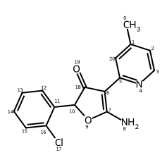 Cc1ccnc(C2=C(N)OC(c3ccccc3Cl)C2=O)c1